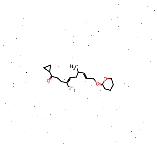 C/C(=C\CC(C)/C=C/COC1CCCCO1)CCC(=O)C1CC1